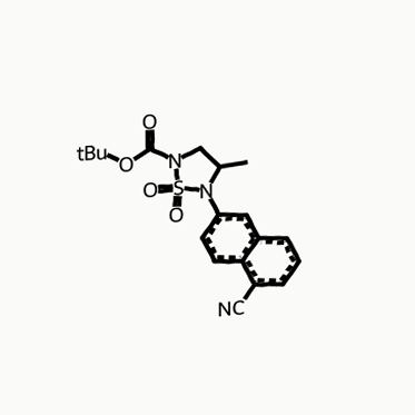 CC1CN(C(=O)OC(C)(C)C)S(=O)(=O)N1c1ccc2c(C#N)cccc2c1